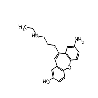 CCNCCSC1=Cc2cc(O)ccc2Oc2ccc(N)cc21